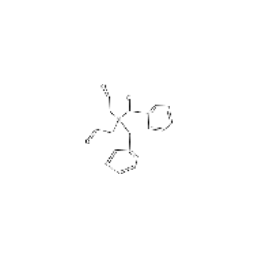 O=CCC(CC=O)(Cc1ccccc1)C(=O)c1ccccc1